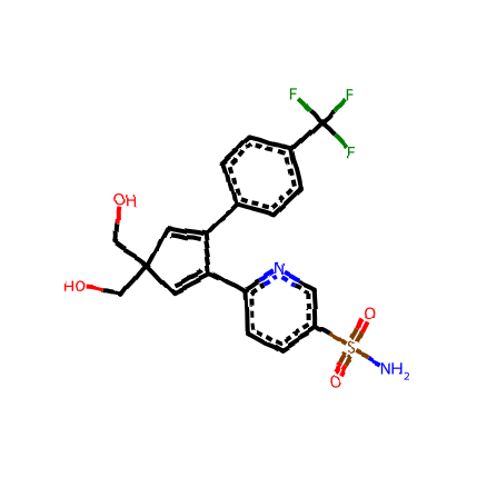 NS(=O)(=O)c1ccc(C2=CC(CO)(CO)C=C2c2ccc(C(F)(F)F)cc2)nc1